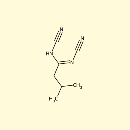 CC(C)CC(=NC#N)NC#N